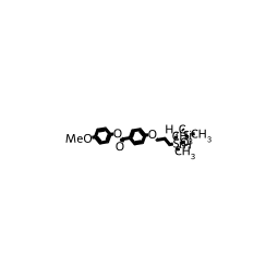 COc1ccc(OC(=O)c2ccc(OCCC[Si](C)(C)O[SiH](C)C)cc2)cc1